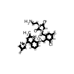 Cc1cc(-n2cc(F)cn2)c2cccc(OCc3c(Cl)cc(F)cc3[C@H](C)N3CC(=O)N(CCN)C3=O)c2n1